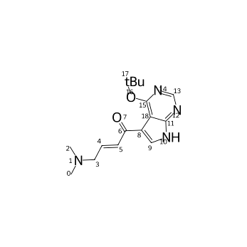 CN(C)CC=CC(=O)c1c[nH]c2ncnc(OC(C)(C)C)c12